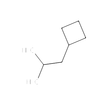 CC(C)CC1[CH]CC1